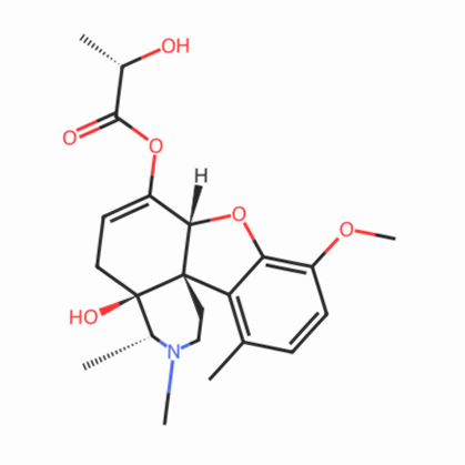 COc1ccc(C)c2c1O[C@H]1C(OC(=O)[C@H](C)O)=CC[C@@]3(O)[C@@H](C)N(C)CC[C@]213